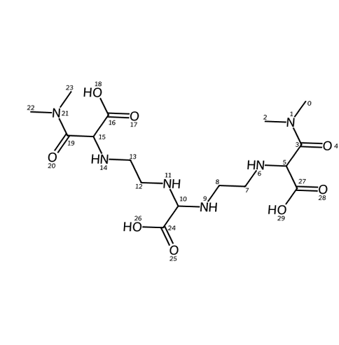 CN(C)C(=O)C(NCCNC(NCCNC(C(=O)O)C(=O)N(C)C)C(=O)O)C(=O)O